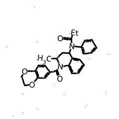 CCC(=O)N(c1ccccc1)C1CC(C)N(C(=O)c2ccc3c(c2)OCCO3)c2ccccc21